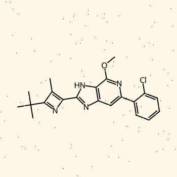 COc1nc(-c2ccccc2Cl)cc2nc(C3=C(C)C(C(C)(C)C)=N3)[nH]c12